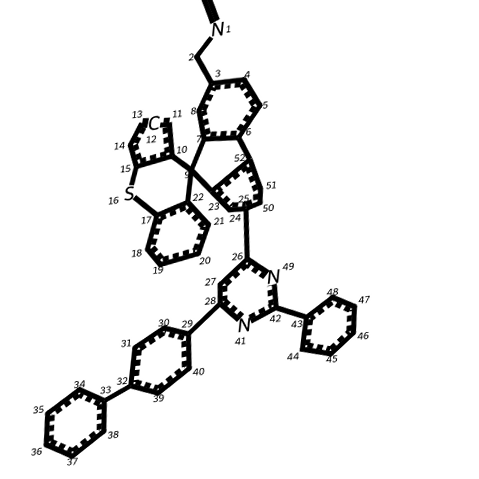 C=NCc1ccc2c(c1)C1(c3ccccc3Sc3ccccc31)c1cc(-c3cc(-c4ccc(-c5ccccc5)cc4)nc(-c4ccccc4)n3)ccc1-2